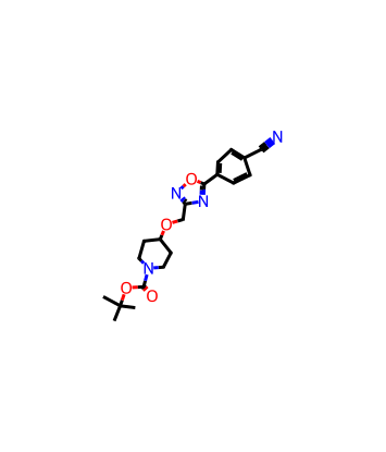 CC(C)(C)OC(=O)N1CCC(OCc2noc(-c3ccc(C#N)cc3)n2)CC1